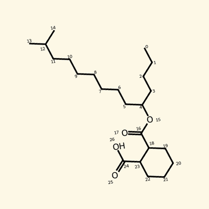 CCCCC(CCCCCCCC(C)C)OC(=O)C1CCCCC1C(=O)O